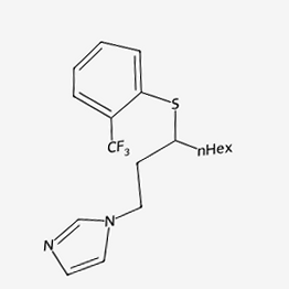 CCCCCCC(CCn1ccnc1)Sc1ccccc1C(F)(F)F